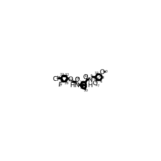 COC1CC[C@@H](OC)C(CNC(=O)C2CC(NC(=O)COc3ccc(Cl)c(F)c3)C3CC2C3)C1